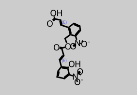 O=C(O)/C=C/c1cccc([N+](=O)[O-])c1COC(=O)/C=C/c1cccc([N+](=O)[O-])c1O